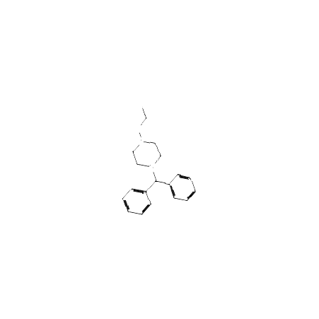 CCON1CCN(C(c2ccccc2)c2ccccc2)CC1